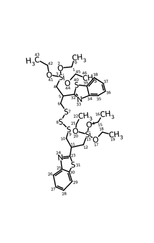 CCO[Si](CC(CSSSCC(C[Si](OCC)(OCC)OCC)c1nc2ccccc2s1)c1nc2ccccc2s1)(OCC)OCC